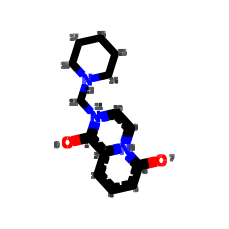 O=c1c2cccc(=O)n2ccn1CN1CCCCC1